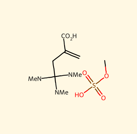 C=C(CC(NC)(NC)NC)C(=O)O.COS(=O)(=O)O